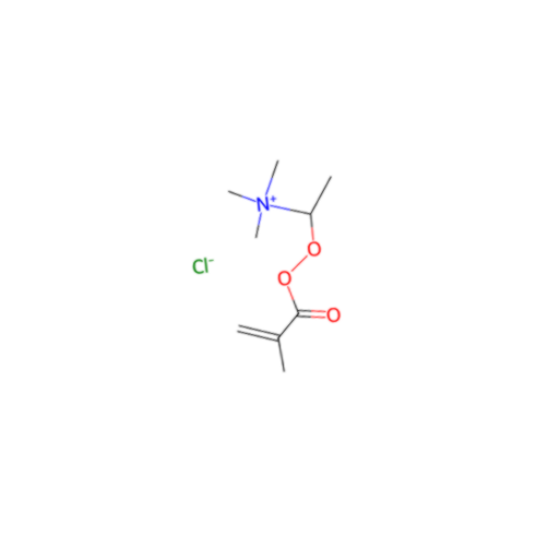 C=C(C)C(=O)OOC(C)[N+](C)(C)C.[Cl-]